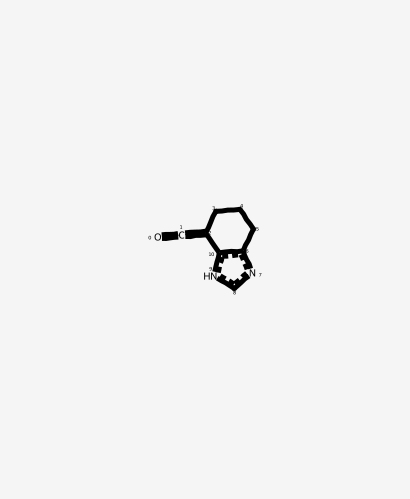 O=C=C1CCCc2nc[nH]c21